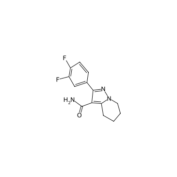 NC(=O)c1c(-c2ccc(F)c(F)c2)nn2c1CCCC2